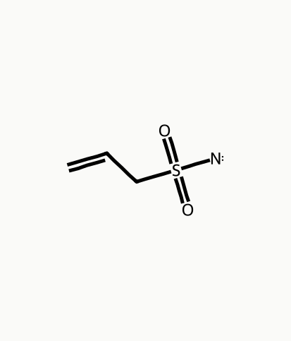 C=CCS([N])(=O)=O